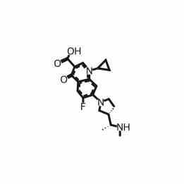 CN[C@H](C)[C@H]1CCN(c2cc3c(cc2F)c(=O)c(C(=O)O)cn3C2CC2)C1